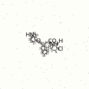 O=C(O)C1(Nc2cccc(Cl)c2)CCC2(CC1)c1ccccc1CC2CCOc1cccc2[nH]ccc12